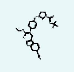 CCOC(=O)C(Cc1coc2cc(C#N)ccc12)c1ccc(O[C@H]2CCN(C(=O)OC(C)(C)C)C2)cc1